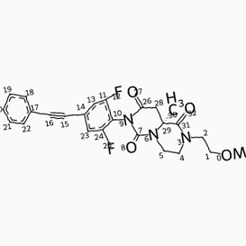 COCCN1CCN2C(=O)N(c3c(F)cc(C#Cc4ccccc4)cc3F)C(=O)C[C@@]2(C)C1=O